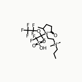 CCC[N+](C)(C)CC[N+]1(C(F)(OC(F)(F)C(F)(F)F)C(F)(F)S(=O)(=O)O)C(=O)CCC1C